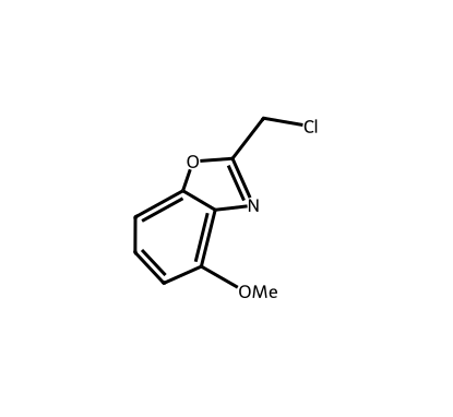 COc1cccc2oc(CCl)nc12